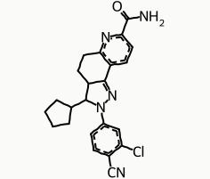 N#Cc1ccc(N2N=C3c4ccc(C(N)=O)nc4CCC3C2C2CCCC2)cc1Cl